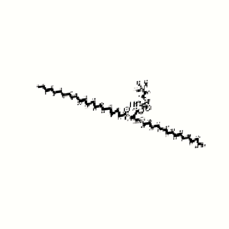 CCCCCCCCCCCCCCCCCCCCCC(=O)O[C@H](COCCCCCCCCCCCCCCCC)COP(=O)(O)OCC[N+](C)(C)C